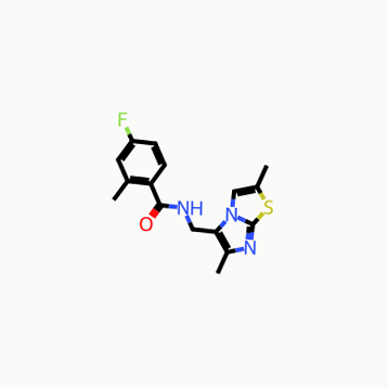 Cc1cn2c(CNC(=O)c3ccc(F)cc3C)c(C)nc2s1